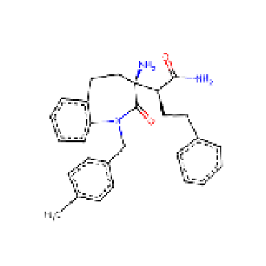 Cc1ccc(CN2C(=O)[C@@](N)([C@H](CCc3ccccc3)C(N)=O)CCc3ccccc32)cc1